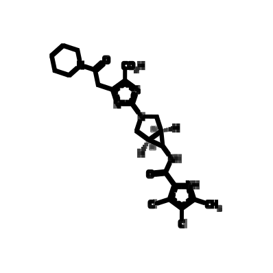 Cc1[nH]c(C(=O)NC2[C@H]3CN(c4nc(CC(=O)N5CCCCC5)c(C(=O)O)s4)C[C@@H]23)c(Cl)c1Cl